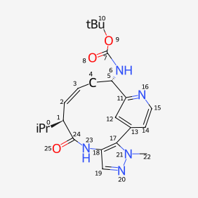 CC(C)[C@H]1C=CC[C@H](NC(=O)OC(C)(C)C)c2cc(ccn2)-c2c(cnn2C)NC1=O